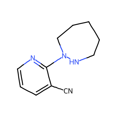 N#Cc1cccnc1N1CCCCCN1